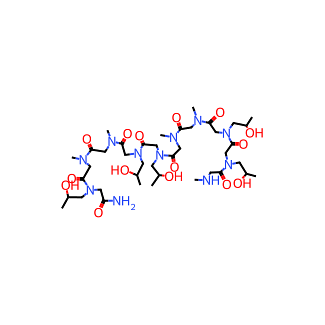 CNCC(=O)N(CC(=O)N(CC(=O)N(C)CC(=O)N(C)CC(=O)N(CC(=O)N(CC(=O)N(C)CC(=O)N(C)CC(=O)N(CC(N)=O)CC(C)O)CC(C)O)CC(C)O)CC(C)O)CC(C)O